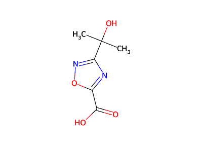 CC(C)(O)c1noc(C(=O)O)n1